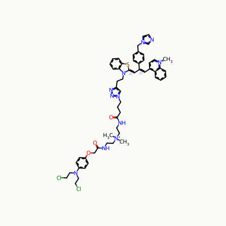 C[n+]1ccc(/C=C(/C=C2\Sc3ccccc3N2CCc2cn(CCCC(=O)NCC[N+](C)(C)CCNC(=O)COc3ccc(N(CCCl)CCCl)cc3)nn2)c2ccc(Cn3ccnc3)cc2)c2ccccc21